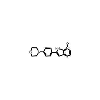 [O-][n+]1ccnc2cc(-c3ccc(N4CCOCC4)cc3)[nH]c21